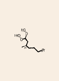 CC(C)CCC[C@@H](C)CC(OO)OO